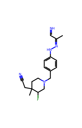 C/C(C=N)=N/Nc1ccc(CN2CCC(C)(CC#N)C(F)C2)cc1